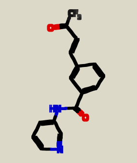 O=C(Nc1cccnc1)c1cccc(/C=C/C(=O)C(F)(F)F)c1